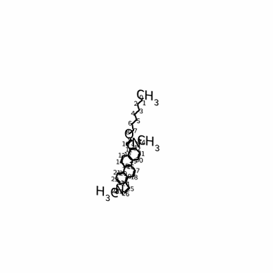 CCCCCCCCOc1cc2c3ccc4c(ccc5c4ccc4c5ccn4C)c3ccc2n1C